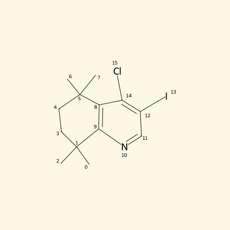 CC1(C)CCC(C)(C)c2c1ncc(I)c2Cl